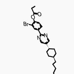 CCCCC[C@H]1CC[C@H](c2cnc(-c3ccc(OC(=O)CC)c(Br)c3)nc2)CC1